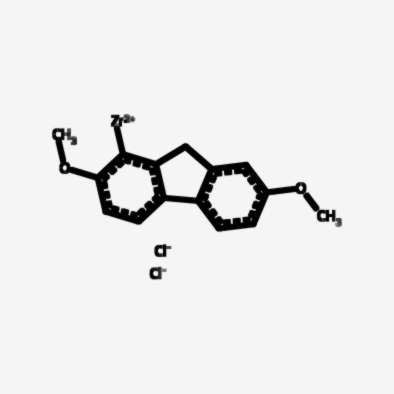 COc1ccc2c(c1)Cc1c-2ccc(OC)[c]1[Zr+2].[Cl-].[Cl-]